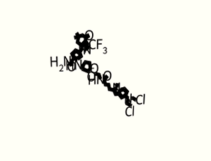 Cn1c(CCCC(=O)NCC(=O)O[C@H]2CC[C@H](Nc3cc(-n4nc(C(F)(F)F)c5c4CC(C)(C)CC5=O)ccc3C(N)=O)CC2)cc2cc(N(CCCl)CCCl)ccc21